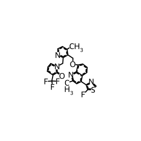 Cc1cc(-c2ncsc2F)c2cccc(OCc3c(C)ccnc3Cn3cccc(C(F)(F)F)c3=O)c2n1